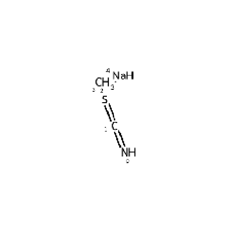 N=C=S.[CH3].[NaH]